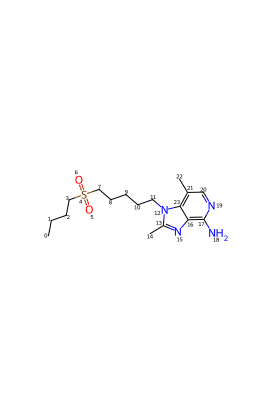 CCCCS(=O)(=O)CCCCCn1c(C)nc2c(N)ncc(C)c21